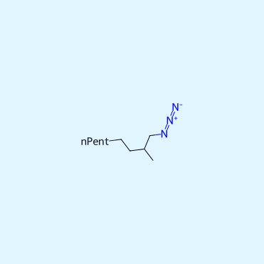 CCCCCCCC(C)CN=[N+]=[N-]